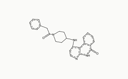 O=C(Cc1ccccc1)N1CCC(Nc2ccnc3[nH]c(=O)c4ccccc4c23)CC1